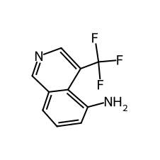 Nc1cccc2cncc(C(F)(F)F)c12